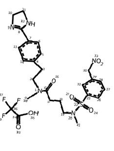 CN(CCc1ccc(C2=NCCN2)cc1)C(=O)CCCN(C)S(=O)(=O)c1cccc(C[N+](=O)[O-])c1.O=C(O)C(F)(F)F